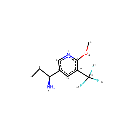 CC[C@H](N)c1cnc(OC)c(C(F)(F)F)c1